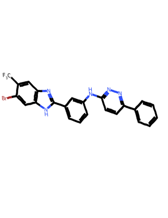 FC(F)(F)c1cc2nc(-c3cccc(Nc4ccc(-c5ccccc5)nn4)c3)[nH]c2cc1Br